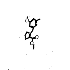 CCOC(=O)C1=C(Cc2cc(C)cc(OC)c2)CCC1